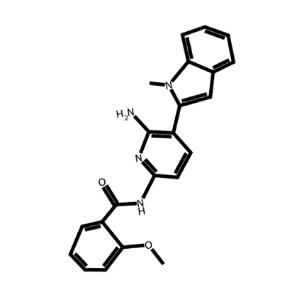 COc1ccccc1C(=O)Nc1ccc(-c2cc3ccccc3n2C)c(N)n1